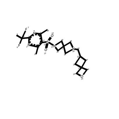 Cc1nc(C(C)(F)F)nc(C)c1S(=O)(=O)N1CC2(CN(CC3CC4(COC4)C3)C2)C1